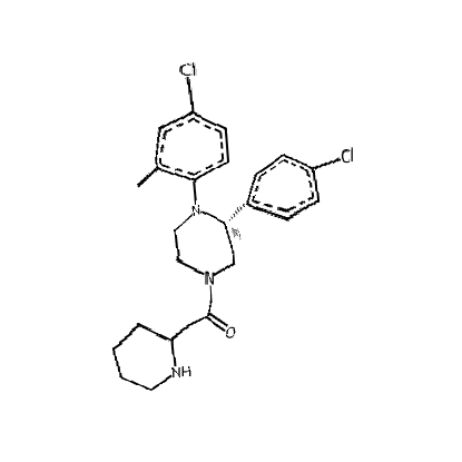 Cc1cc(Cl)ccc1N1CCN(C(=O)C2CCCCN2)C[C@H]1c1ccc(Cl)cc1